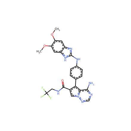 COc1cc2nc(Nc3ccc(-c4c(C(=O)NCC(F)(F)F)cn5ncnc(N)c45)cc3)[nH]c2cc1OC